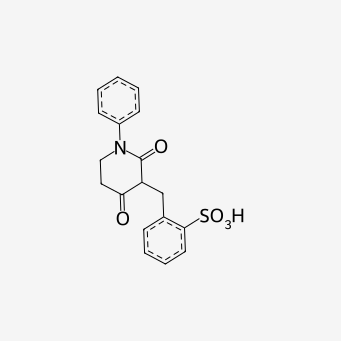 O=C1CCN(c2ccccc2)C(=O)C1Cc1ccccc1S(=O)(=O)O